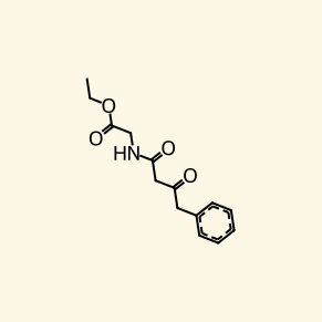 CCOC(=O)CNC(=O)CC(=O)Cc1ccccc1